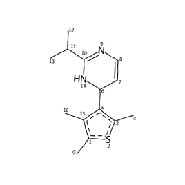 Cc1sc(C)c(C2C=CN=C(C(C)C)N2)c1C